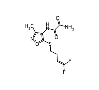 Cc1noc(SCCC=C(F)F)c1NC(=O)C(N)=O